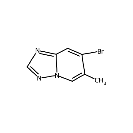 Cc1cn2ncnc2cc1Br